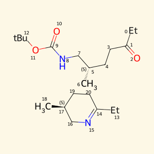 CCC(=O)CC[C@H](C)CNC(=O)OC(C)(C)C.CCC1=NC[C@@H](C)CC1